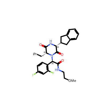 COCCNC(=O)[C@@H](c1ccc(F)cc1F)N1C(=O)[C@@H](C2Cc3ccccc3C2)NC(=O)[C@H]1CC(C)C